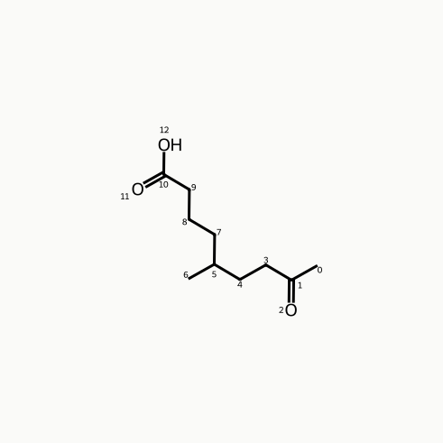 CC(=O)CCC(C)CCCC(=O)O